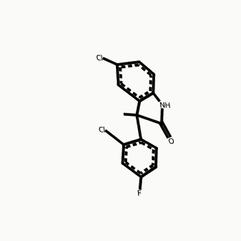 CC1(c2ccc(F)cc2Cl)C(=O)Nc2ccc(Cl)cc21